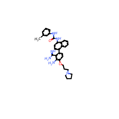 Cc1cccc(NC(=O)Nc2ccc(-c3ccc(OCCCN4CCCC4)c(N)c3C(=N)N)c3ccccc23)c1